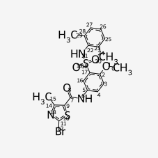 COc1ccc(NC(=O)c2sc(Br)nc2C)cc1S(=O)(=O)Nc1c(C)cccc1C